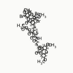 COc1ccc2c(c1)Oc1cc(OC)ccc1C21OC(=O)c2cc(SCC(=O)NC3C(=O)N4C(C(=O)OCOC(C)=O)=C(CSc5ccc6c(c5)C(=O)OC65c6cc(Br)c(OC)c(Br)c6Oc6c5cc(Br)c(OC)c6Br)CSC34)ccc21